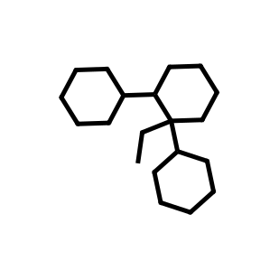 CCC1(C2CCCCC2)CCCCC1C1CCCCC1